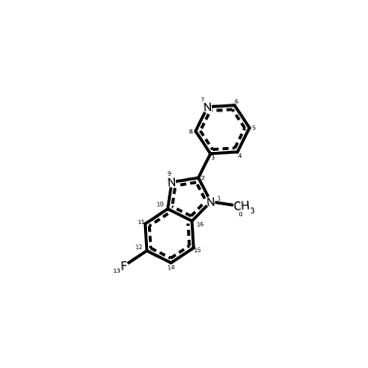 Cn1c(-c2cccnc2)nc2cc(F)ccc21